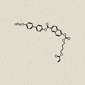 C=CC(=O)OCCCCOC(=O)Oc1ccc2cc(C(=O)Oc3ccc(-c4ccc(CCCCC)cc4)cc3)ccc2c1